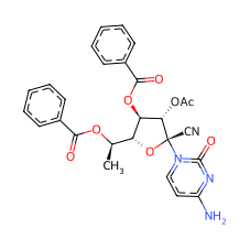 CC(=O)O[C@H]1[C@H](OC(=O)c2ccccc2)[C@@H]([C@@H](C)OC(=O)c2ccccc2)O[C@@]1(C#N)n1ccc(N)nc1=O